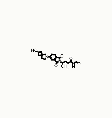 CC(CCC(=O)NC=O)N1C(=O)c2ccc(N3CCC4(CC(O)C4)C3)cc2C1=O